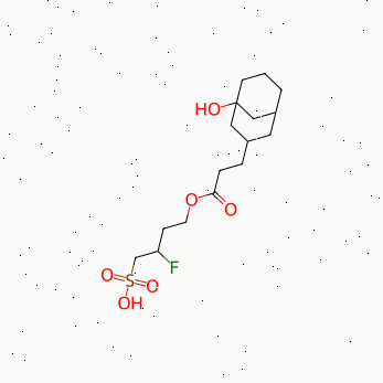 O=C(CCC1CC2CCCC(O)(C2)C1)OCCC(F)CS(=O)(=O)O